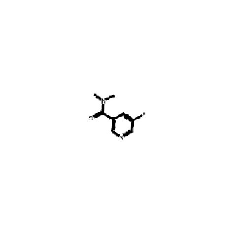 CN(C)C(=O)c1[c]c(F)cnc1